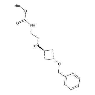 CC(C)(C)OC(=O)NCCN[C@H]1C[C@H](OCc2ccccc2)C1